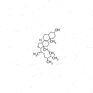 CC(C)[C@@H](C)CC[C@@H](C)[C@H]1CC[C@H]2C3=C(CC[C@]12C)[C@@]1(C)CCC(O)CC1CC3